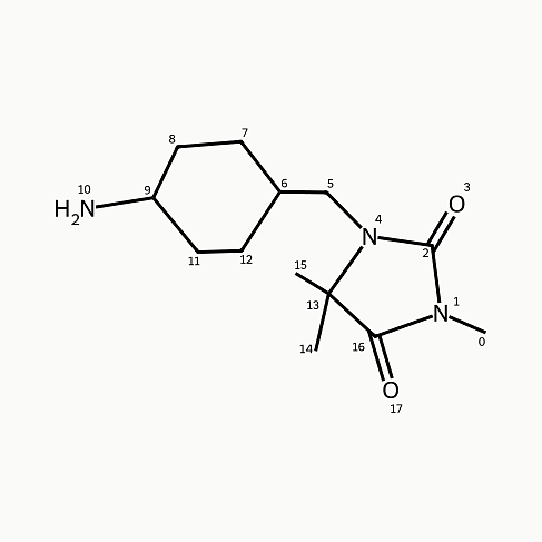 CN1C(=O)N(CC2CCC(N)CC2)C(C)(C)C1=O